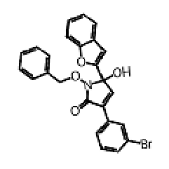 O=C1C(c2cccc(Br)c2)=CC(O)(c2cc3ccccc3o2)N1OCc1ccccc1